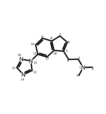 CN(C)CCC1=CCc2ccc(-n3cncn3)cc21